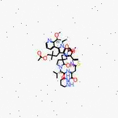 CCn1c(-c2cccnc2[C@H](C)OC)c(CC(C)(C)COC(C)=O)c2cc(-c3csc(C[C@H](NC(=O)[C@H](C(C)C)N4CCC5(CN(C(=O)OC)C5)C4O)C(=O)N4CCCCN4)n3)ccc21